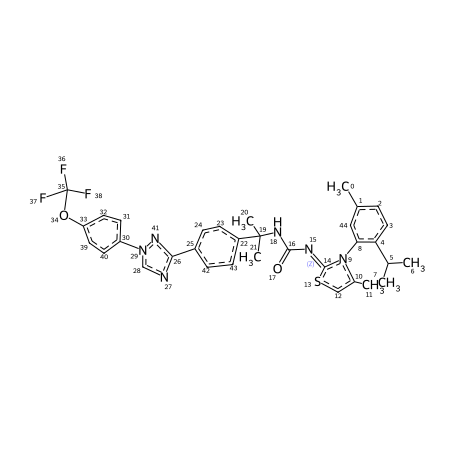 Cc1ccc(C(C)C)c(-n2c(C)cs/c2=N\C(=O)NC(C)(C)c2ccc(-c3ncn(-c4ccc(OC(F)(F)F)cc4)n3)cc2)c1